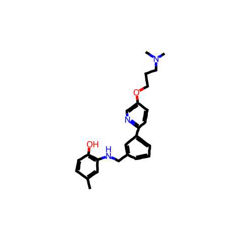 Cc1ccc(O)c(NCc2cccc(-c3ccc(OCCCN(C)C)cn3)c2)c1